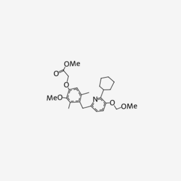 COCOc1ccc(Cc2c(C)cc(OCC(=O)OC)c(OC)c2C)nc1C1CCCCC1